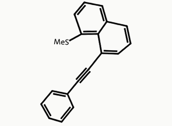 CSc1cccc2cccc(C#Cc3ccccc3)c12